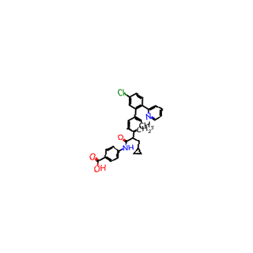 C=C(/C=C\C(=C/C)c1cc(Cl)ccc1-c1ccccn1)C(CC1CC1)C(=O)Nc1ccc(C(=O)O)cc1